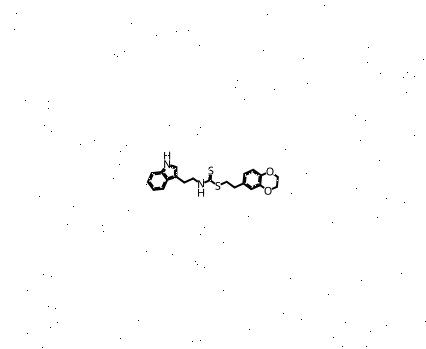 S=C(NCCc1c[nH]c2ccccc12)SCCc1ccc2c(c1)OCCO2